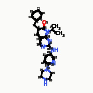 CC(C)n1c(=O)c(Cc2ccccc2)cc2cnc(Nc3ccc(N4CCNCC4)nc3)nc21